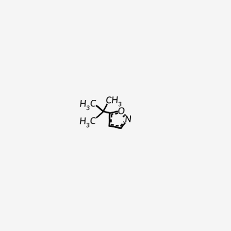 CC(C)(C)c1ccno1